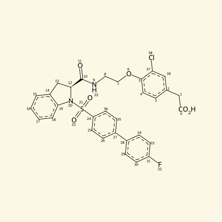 O=C(O)Cc1ccc(OCCNC(=O)[C@@H]2Cc3ccccc3N2S(=O)(=O)c2ccc(-c3ccc(F)cc3)cc2)c(Cl)c1